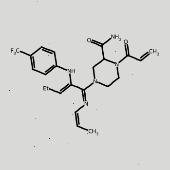 C=CC(=O)N1CCN(C(=N/C=C\C)/C(=C/CC)Nc2ccc(C(F)(F)F)cc2)CC1C(N)=O